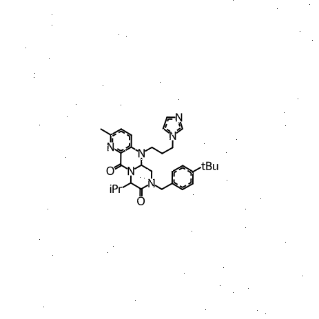 Cc1ccc2c(n1)C(=O)N1C(C(C)C)C(=O)N(Cc3ccc(C(C)(C)C)cc3)CC1N2CCCn1ccnc1